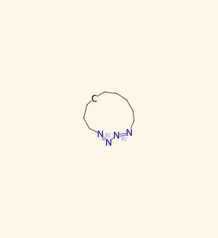 C1CCCC/N=N/N=N/CCCC1